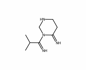 CC(C)C(=N)N1CNCCC1=N